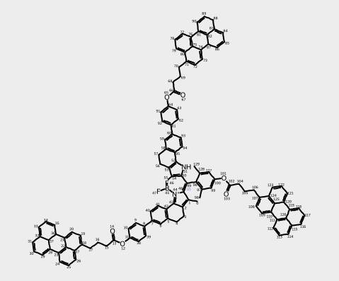 CC1=C2CCc3cc(-c4ccc(OC(=O)CCCc5ccc6c7c(cccc57)C5=CC=CC7=CC=CC6C75)cc4)ccc3C2=[N+](B(F)F)/C1=C(\c1[nH]c2c(c1C)CCc1cc(-c3ccc(OC(=O)CCCc4ccc5c6c(cccc46)C4=C6C(=CC=CC65)CC=C4)cc3)ccc1-2)c1c(C)cc(OC(=O)CCCc2ccc3c4cccc5cccc(c6cccc2c63)c54)cc1C